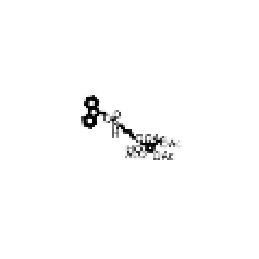 CC(=O)OCC1C(OC(C)=O)C(OC(C)=O)C1(OC(C)=O)C(O)OCCCCNC(=O)OCC1c2ccccc2-c2ccccc21